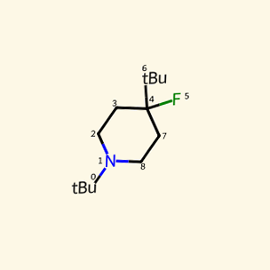 CC(C)(C)N1CCC(F)(C(C)(C)C)CC1